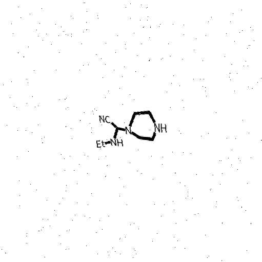 CCNC(C#N)N1CCNCC1